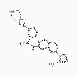 C=C(Nc1cc2cc(-c3cncn3C)ccc2cn1)c1ccnc(N2CC3(CCNCC3)C2)c1